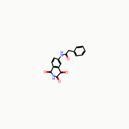 O=C(Cc1ccccc1)Nc1ccc2c(c1)C(=O)C(=O)NC2=O